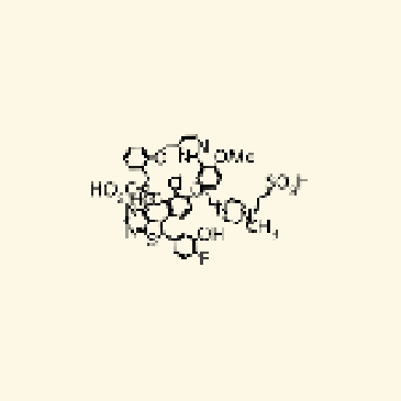 COc1ccccc1-c1nccc(COc2ccccc2C[C@@H](Oc2ncnc3sc(-c4ccc(F)c(O)c4)c(-c4ccc(OCCN5CC[N+](C)(CCCS(=O)(=O)O)CC5)c(Cl)c4C)c23)C(=O)O)n1